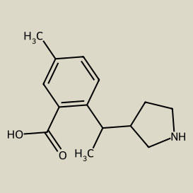 Cc1ccc(C(C)C2CCNC2)c(C(=O)O)c1